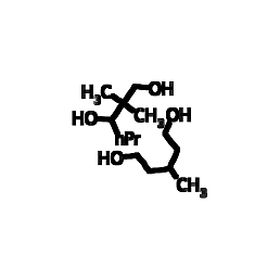 CC(CCO)CCO.CCCC(O)C(C)(C)CO